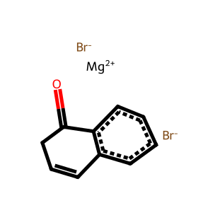 O=C1CC=Cc2ccccc21.[Br-].[Br-].[Mg+2]